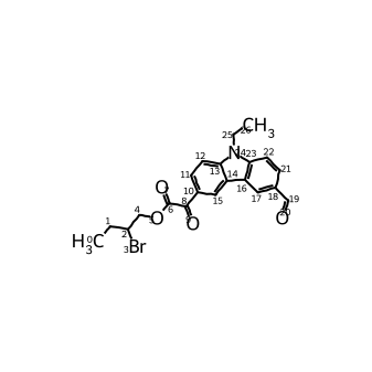 CCC(Br)COC(=O)C(=O)c1ccc2c(c1)c1cc(C=O)ccc1n2CC